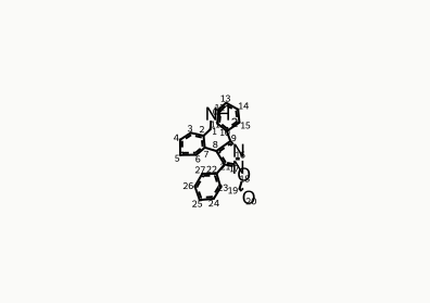 NCc1ccccc1-c1c(-c2ccccc2)nn(OC=O)c1-c1ccccc1